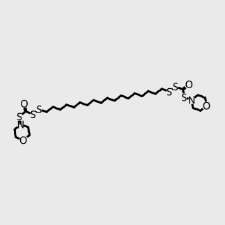 O=C(SSCCCCCCCCCCCCCCCCCCSSC(=O)SN1CCOCC1)SN1CCOCC1